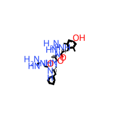 Cc1cc(O)cc(C)c1C[C@H](NC(=N)N)C(=O)N[C@H](C)C(=O)NC[C@H](Cc1ccccc1)NC(=O)CNC(=N)N